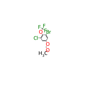 COCOc1cc(Cl)c(OC(F)(F)F)c(Br)c1